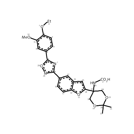 CCOc1ccc(-c2nc(-c3ccc4oc(C5(NC(=O)O)COC(C)(C)OC5)cc4c3)no2)cc1OC